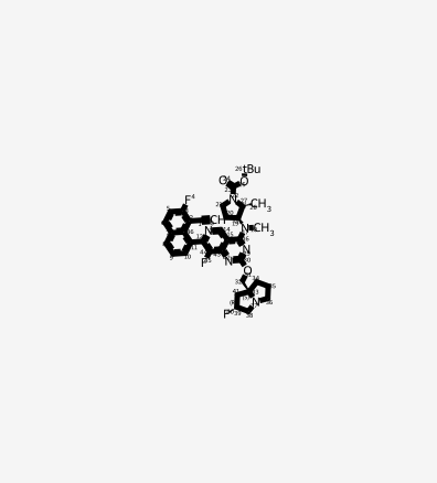 C#Cc1c(F)ccc2cccc(-c3ncc4c(N(C)[C@H]5CCN(C(=O)OC(C)(C)C)[C@@H]5C)nc(OC[C@@]56CCCN5C[C@H](F)C6)nc4c3F)c12